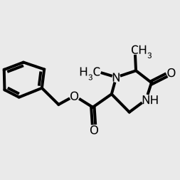 CC1C(=O)NCC(C(=O)OCc2ccccc2)N1C